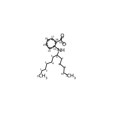 CCCCCCC(CCCCC)Nc1ccccc1C([O])=O